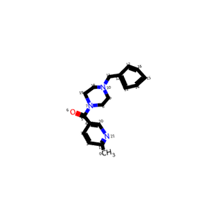 Cc1ccc(C(=O)N2CCN(Cc3ccccc3)CC2)cn1